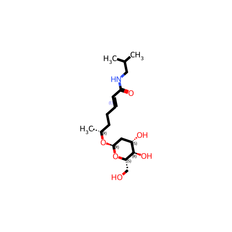 CC(C)CNC(=O)/C=C/CC[C@@H](C)O[C@H]1C[C@H](O)[C@@H](O)[C@H](CO)O1